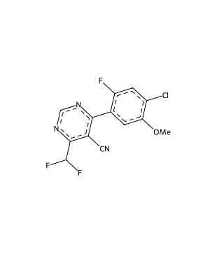 COc1cc(-c2ncnc(C(F)F)c2C#N)c(F)cc1Cl